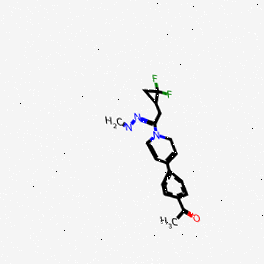 C=N/N=C(/CC1CC1(F)F)N1C=CC(c2ccc(C(C)=O)cc2)=CC1